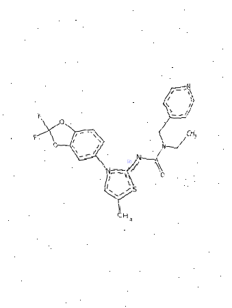 CCN(Cc1ccncc1)C(=O)/N=c1\sc(C)cn1-c1ccc2c(c1)OC(F)(F)O2